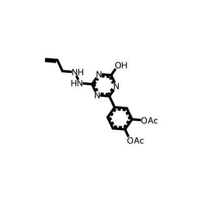 C=CCNNc1nc(O)nc(-c2ccc(OC(C)=O)c(OC(C)=O)c2)n1